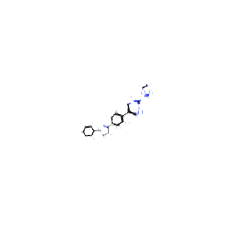 Fc1cccc(F)c1C1=NC(c2ccc(-c3cnc(-n4ccnc4)nc3)cc2)CC1